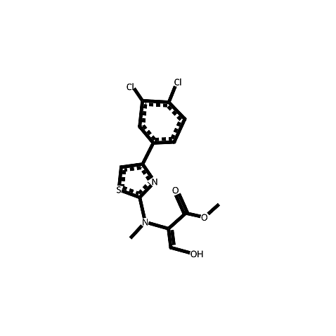 COC(=O)/C(=C\O)N(C)c1nc(-c2ccc(Cl)c(Cl)c2)cs1